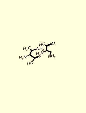 CC(N)[C@H](N)C(=O)O.NCC(N)C(=O)O